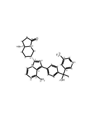 CC(O)(c1ccc(-c2nc([C@@H]3CC[C@H]4CCC(=O)N4C3)n3ccnc(N)c23)cc1)c1cncc(C(F)(F)F)c1